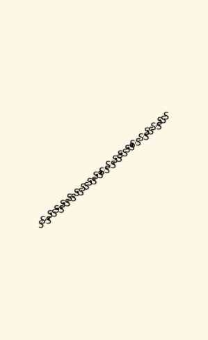 S=S=S=S=S=S=S=S=S=S=S=S=S=S=S=S=S=S=S=S=S=S=S=S=S=S=S=S=S=S=S=S=S=S=S=S=S=S=S=S